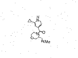 CNCC1COCCN1C(=O)C1=CCNC(C2CC2)=C1